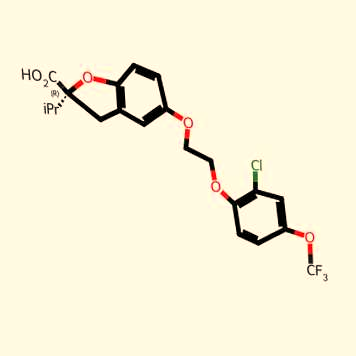 CC(C)[C@@]1(C(=O)O)Cc2cc(OCCOc3ccc(OC(F)(F)F)cc3Cl)ccc2O1